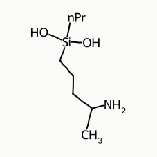 CCC[Si](O)(O)CCCC(C)N